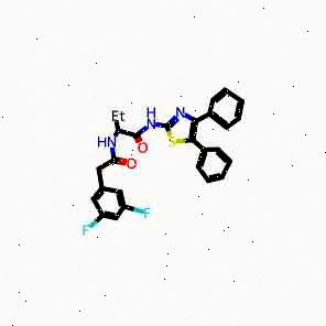 CCC(NC(=O)Cc1cc(F)cc(F)c1)C(=O)Nc1nc(-c2ccccc2)c(-c2ccccc2)s1